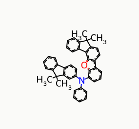 CC1(C)c2ccccc2-c2ccc(N(c3ccccc3)c3cccc4c3oc3c5c(ccc34)C(C)(C)c3ccccc3-5)cc21